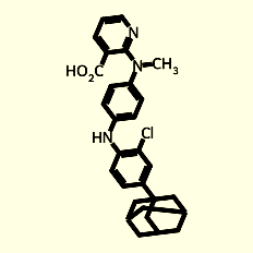 CN(c1ccc(Nc2ccc(C34CC5CC(CC(C5)C3)C4)cc2Cl)cc1)c1ncccc1C(=O)O